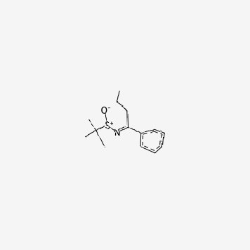 CCCC(=N[S+]([O-])C(C)(C)C)c1ccccc1